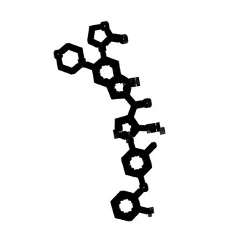 Cc1cc(Oc2ccccc2F)ccc1-n1ncc(C(=O)c2cc3cc(N4CCOCC4)c(N4CCOC4=O)cc3[nH]2)c1N